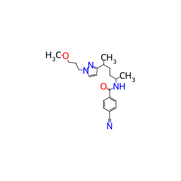 COCCCn1ccc(C(C)CCC(C)NC(=O)c2ccc(C#N)cc2)n1